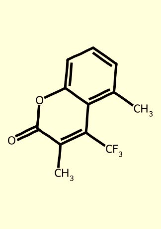 Cc1c(C(F)(F)F)c2c(C)cccc2oc1=O